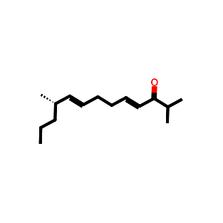 CCC[C@H](C)/C=C/CC/C=C/C(=O)C(C)C